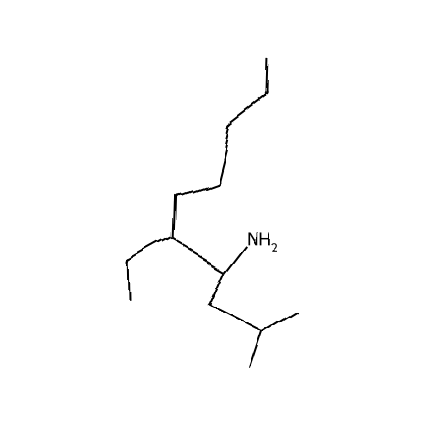 CCCCCC(CC)C(N)CC(C)C